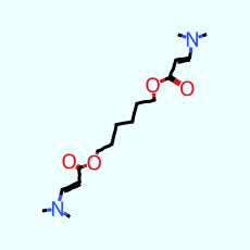 CN(C)/C=C/C(=O)OCCCCCCOC(=O)/C=C/N(C)C